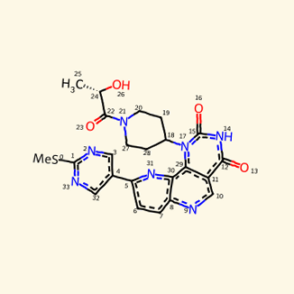 CSc1ncc(-c2ccc3ncc4c(=O)[nH]c(=O)n(C5CCN(C(=O)[C@H](C)O)CC5)c4c3n2)cn1